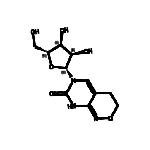 O=C1NC2=NOCCC2=CN1[C@@H]1O[C@H](CO)[C@@H](O)[C@H]1O